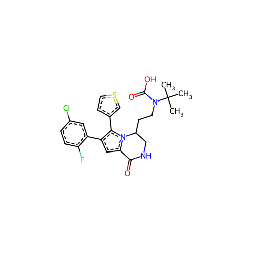 CC(C)(C)N(CCC1CNC(=O)c2cc(-c3cc(Cl)ccc3F)c(-c3ccsc3)n21)C(=O)O